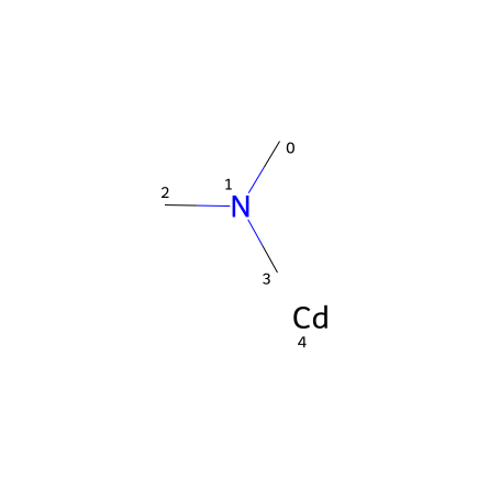 CN(C)C.[Cd]